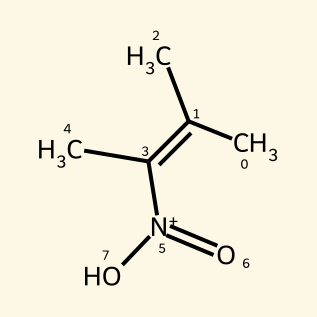 CC(C)=C(C)[N+](=O)O